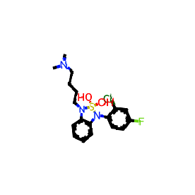 CN(C)CCCCN1c2ccccc2N(c2ccc(F)cc2Cl)S1(O)O